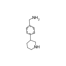 NCc1ccc(C2CCCNC2)cc1